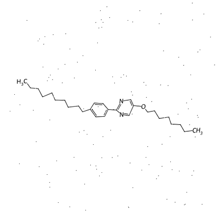 CCCCCCCCCCc1ccc(-c2ncc(OCCCCCCCC)cn2)cc1